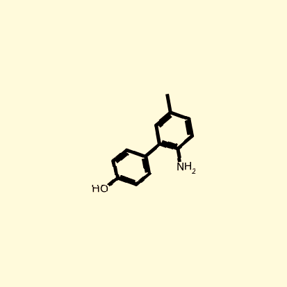 Cc1ccc(N)c(-c2ccc(O)cc2)c1